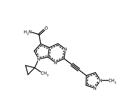 Cn1cc(C#Cc2ncc3c(C(N)=O)cn(C4(C)CC4)c3n2)cn1